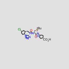 CC(C)(C)SC[C@H](NC(=O)C=Cc1cc(Cl)ccc1-n1cnnn1)C(=O)Nc1ccc(C(=O)O)cc1